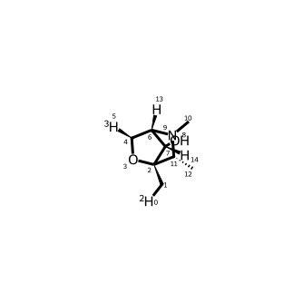 [2H]C[C@@]12O[C@@H]([3H])[C@@H]([C@@H]1O)N(C)[C@@H]2C